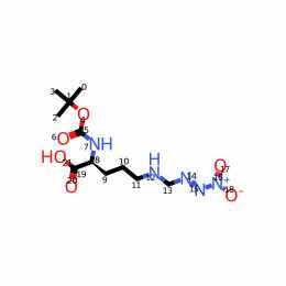 CC(C)(C)OC(=O)N[C@@H](CCCNC/N=N/[N+](=O)[O-])C(=O)O